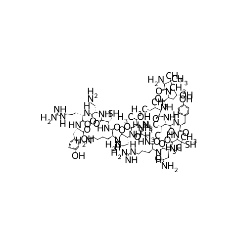 CC[C@H](C)[C@H](NC(=O)[C@@H](NC(=O)[C@@H]1C[C@@H](O)CN1C(=O)[C@@H](N)C(C)(C)C)[C@@H](C)CC)C(=O)N[C@@H](Cc1ccc(O)cc1)C(=O)N[C@H](C(=O)N[C@@H](CC(N)=O)C(=O)N[C@@H](CCCNC(=N)N)C(=O)N[C@@H](CCN)C(=O)N[C@H](C(=O)N[C@H](CCN)C(=O)N[C@@H](CCCCN)C(=O)N[C@@H](CS)C(=O)N[C@@H](CCN)C(=O)N[C@@H](CCCNC(=N)N)C(=O)N[C@@H](Cc1ccc(O)cc1)C(=O)O)[C@@H](C)O)C(C)(C)S